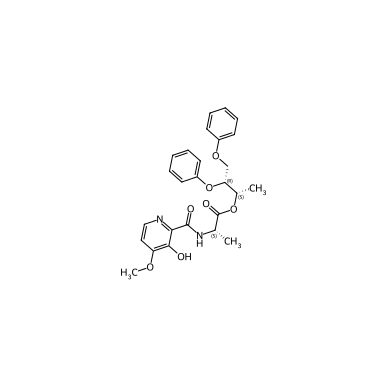 COc1ccnc(C(=O)N[C@@H](C)C(=O)O[C@@H](C)[C@@H](COc2ccccc2)Oc2ccccc2)c1O